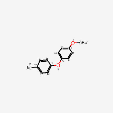 CCCCOc1ccc(Oc2ccc(C(C)=O)cc2)cc1